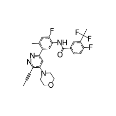 CC#Cc1nnc(-c2cc(NC(=O)c3ccc(F)c(C(C)(F)F)c3)c(F)cc2C)cc1N1CCOCC1